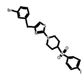 O=S(=O)(c1ccc(Cl)cc1)C1CCN(c2nc(Cc3cccc(Br)c3)cs2)CC1